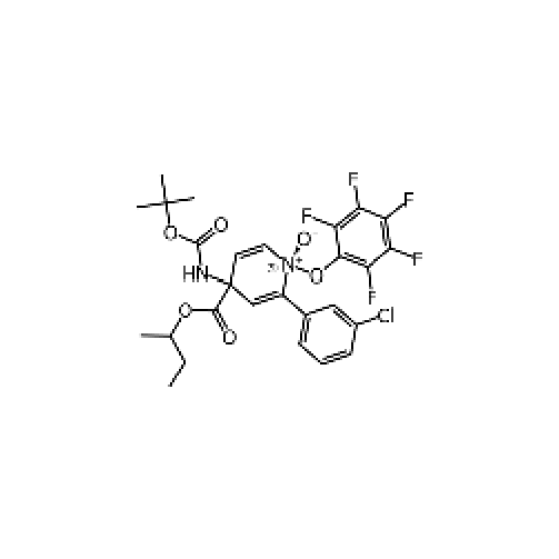 CCC(C)OC(=O)C1(NC(=O)OC(C)(C)C)C=C[N@+]([O-])(Oc2c(F)c(F)c(F)c(F)c2F)C(c2cccc(Cl)c2)=C1